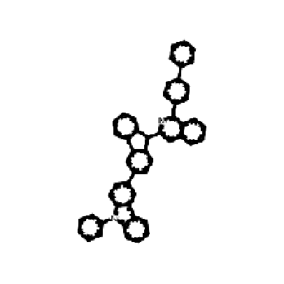 c1ccc(-c2ccc(-c3nc(C4c5ccccc5-c5cc(-c6ccc7c(c6)c6ccccc6n7-c6ccccc6)ccc54)cc4ccccc34)cc2)cc1